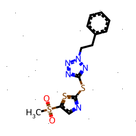 CS(=O)(=O)c1cnc(Sc2nnn(CCc3ccccc3)n2)s1